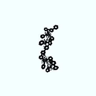 c1ccc(-c2ccc3c(c2)c2ccccc2n3-c2nc(-c3ccccc3)nc(-c3cccc4c3oc3c(-c5nc6ccccc6s5)c(-c5ccc(-c6ccc7c(c6)sc6c(-c8nc(-c9ccccc9)nc(-c9cccc%10c9oc9c(-c%11nc%12ccccc%12s%11)c(-c%11ccccc%11)ccc9%10)n8)cccc67)cc5)ccc34)n2)cc1